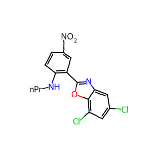 CCCNc1ccc([N+](=O)[O-])cc1-c1nc2cc(Cl)cc(Cl)c2o1